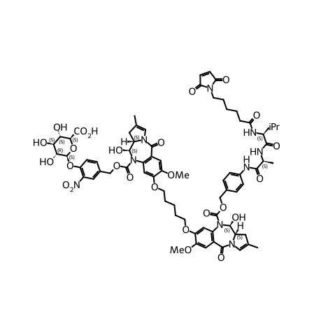 COc1cc2c(cc1OCCCCCOc1cc3c(cc1OC)C(=O)N1C=C(C)C[C@H]1[C@H](O)N3C(=O)OCc1ccc(O[C@@H]3O[C@H](C(=O)O)[C@@H](O)[C@H](O)[C@H]3O)c([N+](=O)[O-])c1)N(C(=O)OCc1ccc(NC(=O)[C@H](C)NC(=O)[C@@H](NC(=O)CCCCCN3C(=O)C=CC3=O)C(C)C)cc1)[C@@H](O)[C@@H]1CC(C)=CN1C2=O